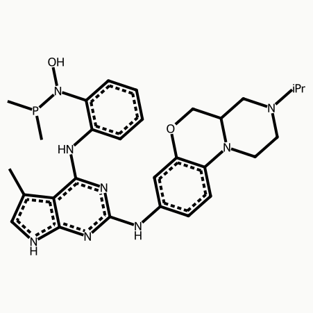 Cc1c[nH]c2nc(Nc3ccc4c(c3)OCC3CN(C(C)C)CCN43)nc(Nc3ccccc3N(O)P(C)C)c12